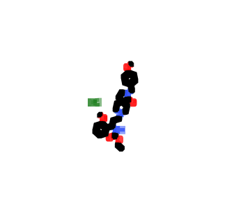 CCOC(=O)NC(CCN1CCC2(CC1)CCN(Cc1ccc(OC)cc1)C2=O)c1ccccc1OC.Cl